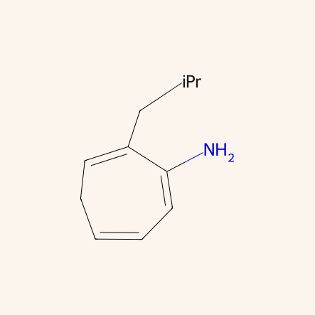 CC(C)CC1=CCC=CC=C1N